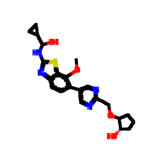 COc1c(-c2cnc(CO[C@H]3CCC[C@@H]3O)nc2)ccc2nc(NC(O)C3CC3)sc12